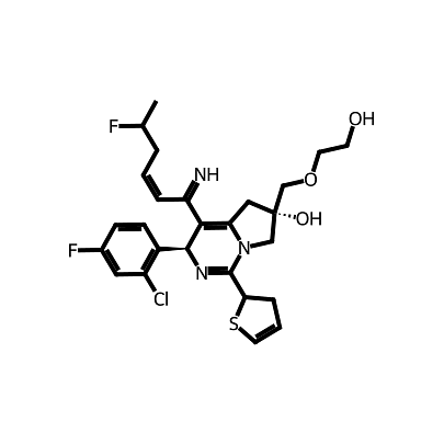 CC(F)C/C=C\C(=N)C1=C2C[C@@](O)(COCCO)CN2C(C2CC=CS2)=N[C@H]1c1ccc(F)cc1Cl